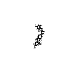 Cc1cc(C)c(Cc2csc(N3CCC(S(=O)(=O)c4ccc(F)cc4Cl)CC3)n2)c(C)c1